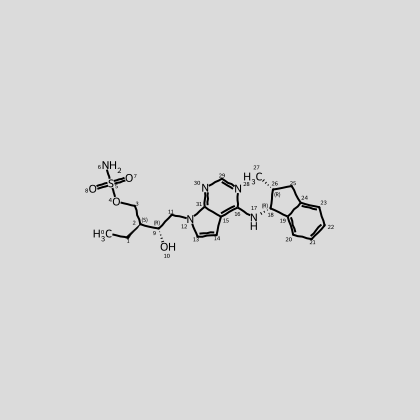 CC[C@@H](COS(N)(=O)=O)[C@@H](O)Cn1ccc2c(N[C@H]3c4ccccc4C[C@H]3C)ncnc21